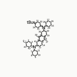 Cc1ccc(N(c2ccccc2)c2ccc3c(C)c4ccc(N(c5ccccc5)c5ccc(C(C)(C)C)cc5)cc4c(C)c3c2)cc1